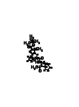 CC(=O)c1c(NC(=O)NCc2c(-n3cccc3)sc(C(=O)OC(C)(C)C)c2C)sc2c1CCCC2